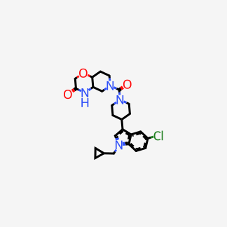 O=C1COC2CCN(C(=O)N3CCC(c4cn(CC5CC5)c5ccc(Cl)cc45)CC3)CC2N1